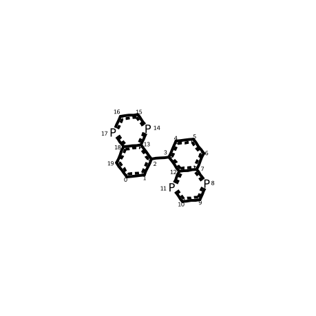 c1cc(-c2cccc3pccpc23)c2pccpc2c1